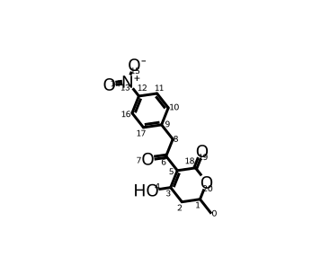 CC1CC(O)=C(C(=O)Cc2ccc([N+](=O)[O-])cc2)C(=O)O1